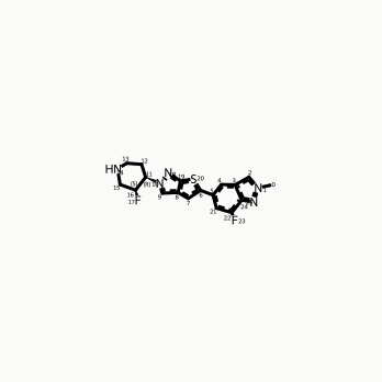 Cn1cc2cc(-c3cc4cn([C@@H]5CCNC[C@@H]5F)nc4s3)cc(F)c2n1